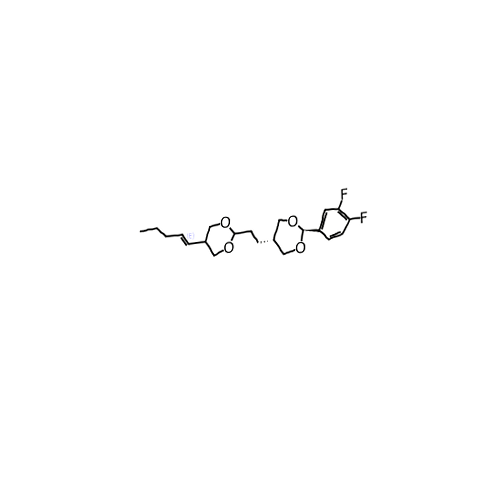 CCC/C=C/C1COC(CC[C@H]2CO[C@H](c3ccc(F)c(F)c3)OC2)OC1